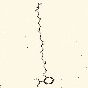 [N-]=[N+]=NCCOCCOCCOCCOCCOCCOc1ccccc1C(=O)O